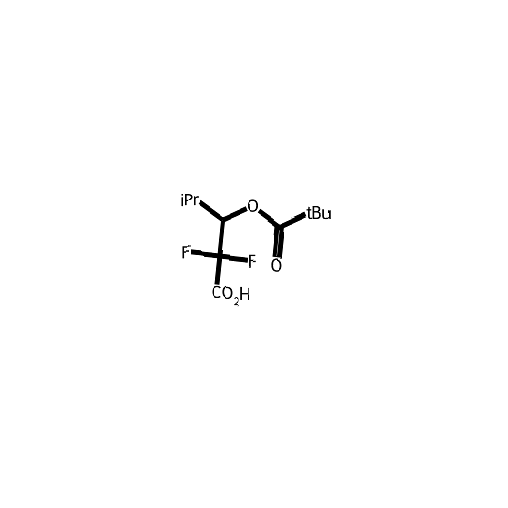 CC(C)C(OC(=O)C(C)(C)C)C(F)(F)C(=O)O